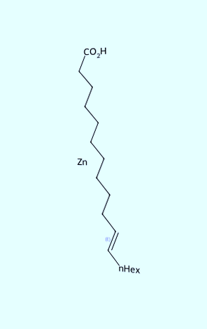 CCCCCC/C=C/CCCCCCCCCC(=O)O.[Zn]